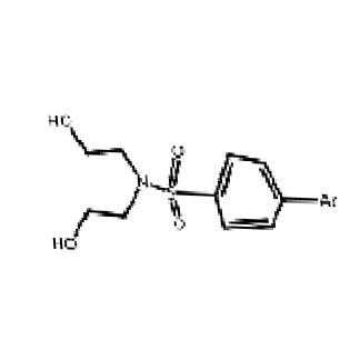 CC(=O)c1ccc(S(=O)(=O)N(CCO)CCO)cc1